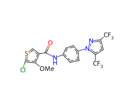 COc1c(C(=O)Nc2ccc(-n3nc(C(F)(F)F)cc3C(F)(F)F)cc2)csc1Cl